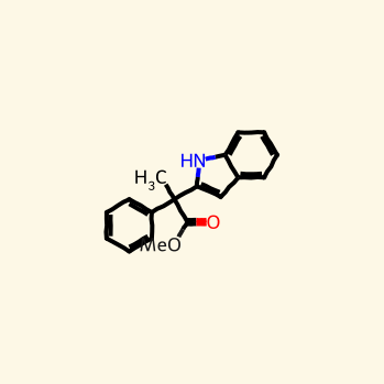 COC(=O)C(C)(c1ccccc1)c1cc2ccccc2[nH]1